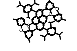 Cc1ccc2c(c1)Oc1cc(C)cc3c1B2c1cc2c(-c4c(C(C)C)cc(C(C)C)cc4C(C)C)cc4c5c(cc6c(-c7c(C(C)C)cc(C(C)C)cc7C(C)C)cc-3c1c6c25)B1c2ccc(C)cc2Oc2cc(C)cc-4c21